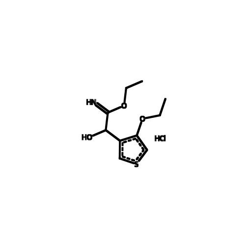 CCOC(=N)C(O)c1cscc1OCC.Cl